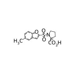 Cc1ccc2oc(S(=O)(=O)N3CCC[C@H]3C(=O)O)cc2c1